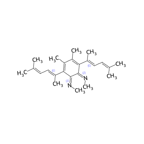 C/N=C1/C(/C(C)=C/C=C(C)C)=C(C)C(C)=C(/C(C)=C/C=C(C)C)/C1=N/C